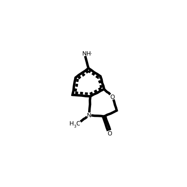 CN1C(=O)COc2cc([NH])ccc21